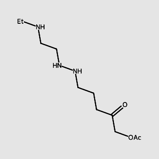 CCNCCNNCCCC(=O)COC(C)=O